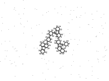 c1ccc(-n2c3cc(-c4ccc5c6ccccc6n(-c6cccc(-c7ccc(-c8ccc9c%10c(cccc8%10)-c8ccccc8-9)cc7)c6)c5c4)ccc3c3ccc4ccccc4c32)cc1